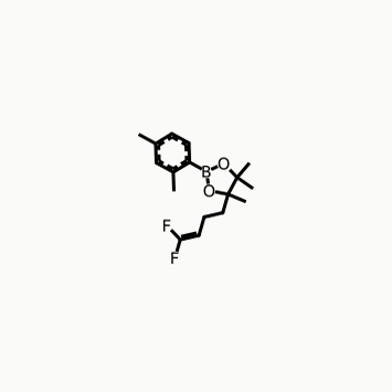 Cc1ccc(B2OC(C)(C)C(C)(CCC=C(F)F)O2)c(C)c1